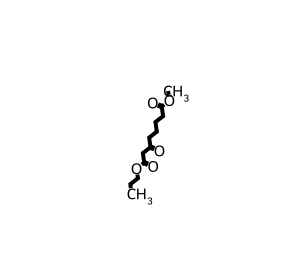 CCCOC(=O)CC(=O)CCCCC(=O)OC